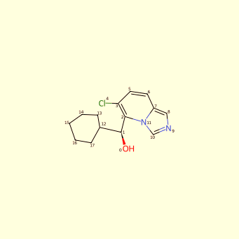 O[C@H](c1c(Cl)ccc2cncn12)C1CCCCC1